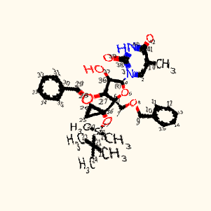 Cc1cn([C@@H]2O[C@](COCc3ccccc3)(C3(O[Si](C)(C)C(C)(C)C)CC3)C(OCc3ccccc3)C2O)c(=O)[nH]c1=O